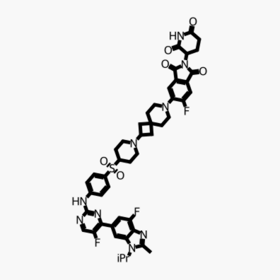 Cc1nc2c(F)cc(-c3nc(Nc4ccc(S(=O)(=O)C5CCN(C6CC7(CCN(c8cc9c(cc8F)C(=O)N(C8CCC(=O)NC8=O)C9=O)CC7)C6)CC5)cc4)ncc3F)cc2n1C(C)C